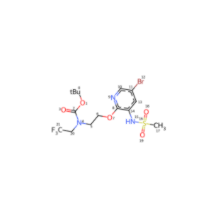 CC(C)(C)OC(=O)N(CCOc1ncc(Br)cc1NS(C)(=O)=O)CC(F)(F)F